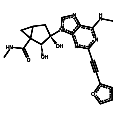 CNC(=O)C12CC1C[C@](O)(n1cnc3c(NC)nc(C#Cc4ccco4)nc31)[C@@H]2O